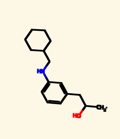 [CH2]C(O)Cc1cccc(NCC2CCCCC2)c1